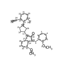 COc1ccccc1Cn1c(=O)n(C2CCN(c3c(F)cccc3C#N)C2)c2cccc(OC)c21